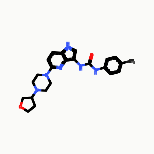 O=C(Nc1ccc(C(F)(F)F)cc1)Nc1c[nH]c2ccc(N3CCN(C4CCOC4)CC3)nc12